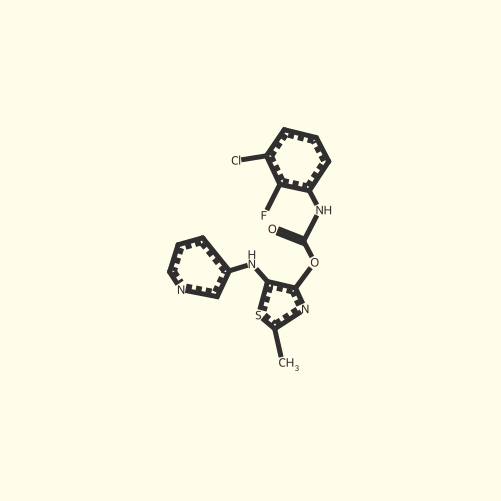 Cc1nc(OC(=O)Nc2cccc(Cl)c2F)c(Nc2cccnc2)s1